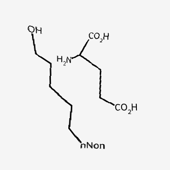 CCCCCCCCCCCCCCO.NC(CCC(=O)O)C(=O)O